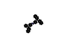 C(=C\c1ccc(N(c2ccc3ccccc3c2)c2ccc3ccccc3c2)cc1)/c1ccc(N(c2ccccc2)c2ccc3ccccc3c2)cc1